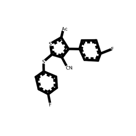 CC(=O)c1sc(Sc2ccc(F)cc2)c(C#N)c1-c1ccc(F)cc1